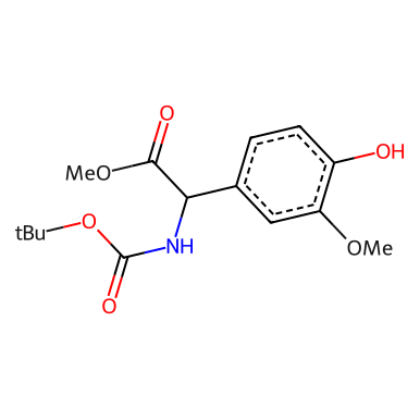 COC(=O)C(NC(=O)OC(C)(C)C)c1ccc(O)c(OC)c1